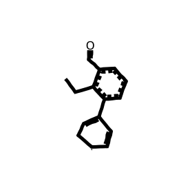 CCc1c(C=O)cccc1C1=CC[CH]C=C1